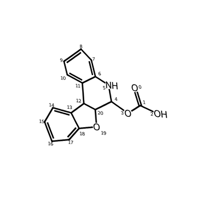 O=C(O)OC1Nc2ccccc2C2c3ccccc3OC12